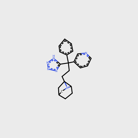 c1ccc(C(CCN2CC3CCC2CC3)(c2cccnc2)c2nnn[nH]2)cc1